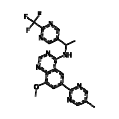 COc1cc(-c2ncc(C)cn2)cc2c(NC(C)c3cnc(C(F)(F)F)nc3)ncnc12